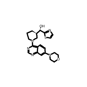 O[C@H](c1nccs1)[C@@H]1CCCN(c2ncnc3cc(N4CCOCC4)ccc23)C1